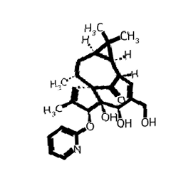 CC1=C[C@]23C(=O)[C@@H](C=C(CO)[C@@H](O)[C@]2(O)[C@H]1Oc1ccccn1)[C@H]1[C@@H](C[C@H]3C)C1(C)C